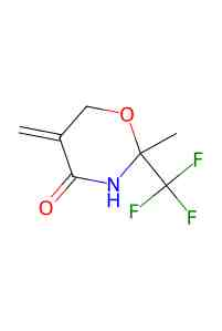 C=C1COC(C)(C(F)(F)F)NC1=O